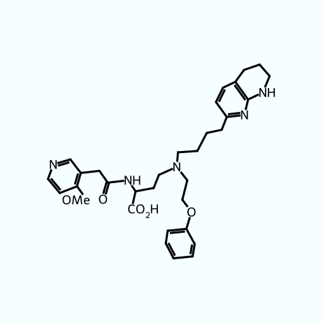 COc1ccncc1CC(=O)NC(CCN(CCCCc1ccc2c(n1)NCCC2)CCOc1ccccc1)C(=O)O